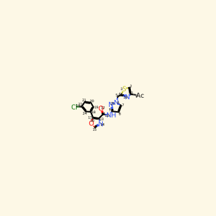 CC(=O)c1csc(Cn2ccc(NC(=O)c3ncoc3-c3cccc(Cl)c3)n2)n1